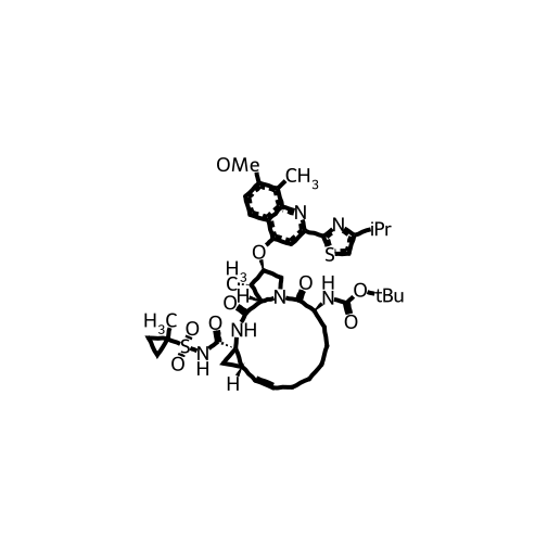 COc1ccc2c(O[C@H]3CN4C(=O)[C@@H](NC(=O)OC(C)(C)C)CCCCC/C=C\[C@@H]5C[C@@]5(C(=O)NS(=O)(=O)C5(C)CC5)NC(=O)[C@@H]4[C@@H]3C)cc(-c3nc(C(C)C)cs3)nc2c1C